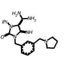 CC(C)N1C(=O)N(Cc2cccc(CN3CCCC3)c2)C(=N)C1=C(N)N